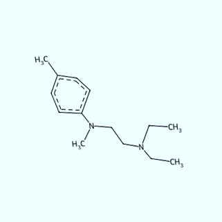 CCN(CC)CCN(C)c1ccc(C)cc1